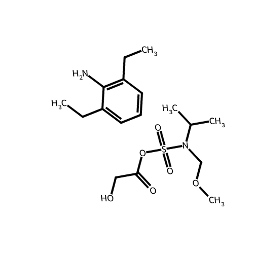 CCc1cccc(CC)c1N.COCN(C(C)C)S(=O)(=O)OC(=O)CO